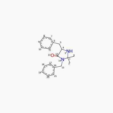 CC1(C)NC(Cc2ccccc2)C(=O)N1Cc1ccccc1